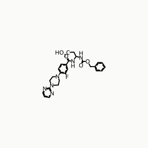 O=C(O)CC(NC(=O)OCc1ccccc1)NC(=O)c1ccc(N2CCN(c3ncccn3)CC2)c(F)c1